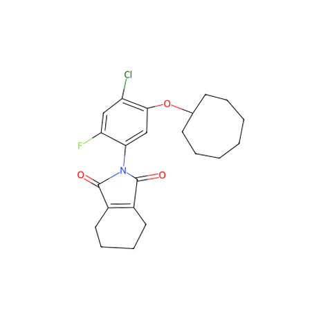 O=C1C2=C(CCCC2)C(=O)N1c1cc(OC2CCCCCCC2)c(Cl)cc1F